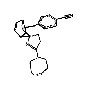 N#Cc1ccc(C2C3C=CC(CC3)C23CCC(N2CCOCC2)=N3)cc1